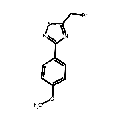 FC(F)(F)Oc1ccc(-c2nsc(CBr)n2)cc1